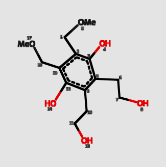 COCc1c(O)c(CCO)c(CCO)c(O)c1COC